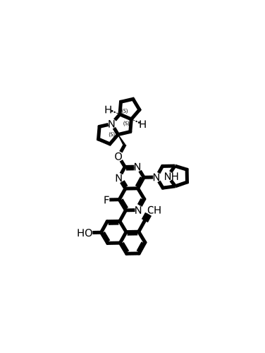 C#Cc1cccc2cc(O)cc(-c3ncc4c(N5CC6CCC(C5)N6)nc(OC[C@@]56CCCN5[C@H]5CCC[C@H]5C6)nc4c3F)c12